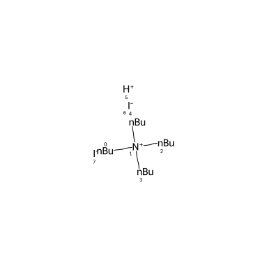 CCCC[N+](CCCC)(CCCC)CCCC.[H+].[I-].[I-]